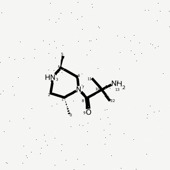 C[C@@H]1CN[C@@H](C)CN1C(=O)C(C)(C)N